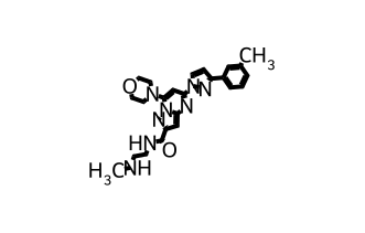 CNCCNC(=O)c1cc2nc(-n3ccc(-c4cccc(C)c4)n3)cc(N3CCOCC3)n2n1